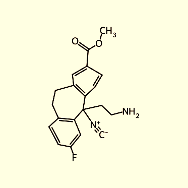 [C-]#[N+]C1(CCN)c2ccc(C(=O)OC)cc2CCc2ccc(F)cc21